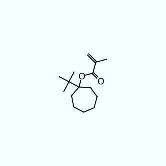 C=C(C)C(=O)OC1(C(C)(C)C)CCCCCC1